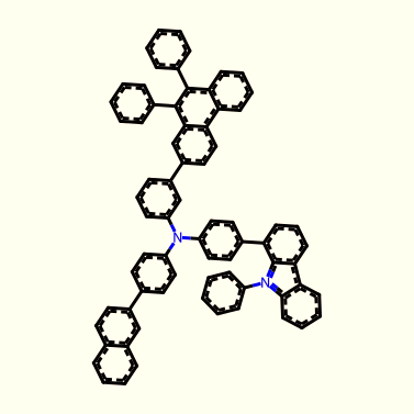 c1ccc(-c2c(-c3ccccc3)c3cc(-c4cccc(N(c5ccc(-c6ccc7ccccc7c6)cc5)c5ccc(-c6cccc7c8ccccc8n(-c8ccccc8)c67)cc5)c4)ccc3c3ccccc23)cc1